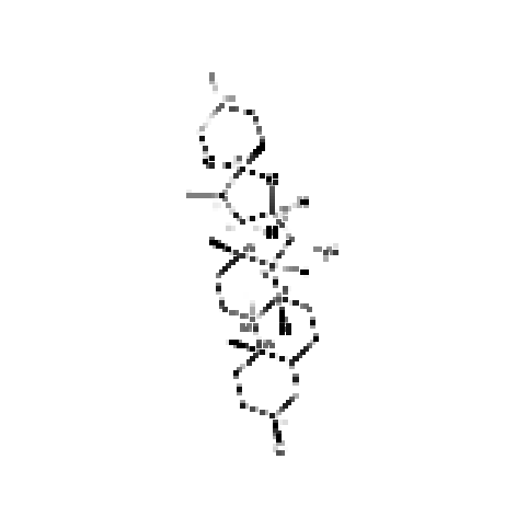 C[C@@H]1CC[C@@]2(OC1)O[C@H]1C[C@H]3[C@@H]4CCC5C[C@@H](O)CC[C@]5(C)[C@H]4CC[C@]3(C)[C@H]1[C@@H]2C.O